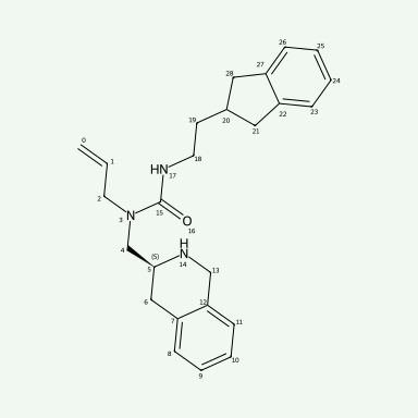 C=CCN(C[C@@H]1Cc2ccccc2CN1)C(=O)NCCC1Cc2ccccc2C1